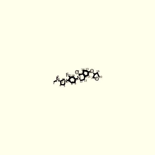 CN(C)[C@@H]1CCN(c2ccc(N3CCc4cc(OC5CCOC5)ccc4C3=O)cc2F)C1